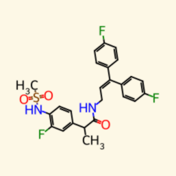 CC(C(=O)NCC=C(c1ccc(F)cc1)c1ccc(F)cc1)c1ccc(NS(C)(=O)=O)c(F)c1